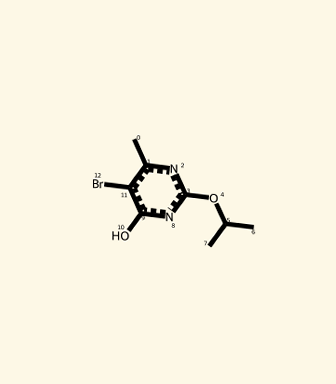 Cc1nc(OC(C)C)nc(O)c1Br